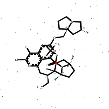 CC[C@H]1Cc2nc(Cl)c(F)c3nc(OC[C@@]45CCCN4C[C@H](F)C5)nc(c23)N2C[C@H]3CC[C@@H]([C@H]12)N3C(=O)OC(C)(C)C